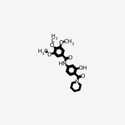 COc1cc(C(=O)Nc2ccc(C(=O)N3CCCCC3)c(O)c2)cc(OC)c1OC